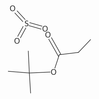 CCC(=O)OC(C)(C)C.O=S(=O)=O